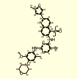 COc1cc(Nc2ncc(Br)c(Nc3ccc4nc(-c5cnn(C)c5)ccc4c3P(C)(C)=O)n2)c(C)cc1N1CCOCC1